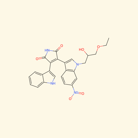 CCOCC(O)Cn1cc(C2=C(c3c[nH]c4ccccc34)C(=O)NC2=O)c2ccc([N+](=O)[O-])cc21